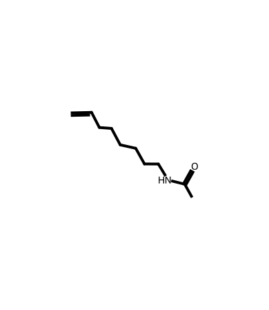 C=CCCCCCCNC(C)=O